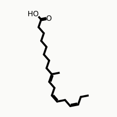 CC/C=C\C/C=C\C/C=C(\C)CCCCCCCC(=O)O